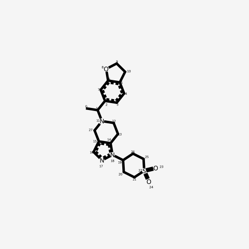 CC(c1ccc2c(c1)OCC2)N1CCc2c(cnn2C2CCS(=O)(=O)CC2)C1